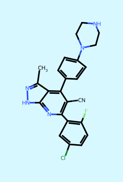 Cc1n[nH]c2nc(-c3cc(Cl)ccc3F)c(C#N)c(-c3ccc(N4CCNCC4)cc3)c12